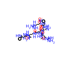 C=C(N)C(CCCNC(=O)CC[C@H](NC(=O)[C@H](CCCNC(=N)N)NC(C)=O)C(=O)N[C@@H](CCN)C(=O)N[C@H](Cc1cccc([N+](=O)[O-])c1)C(=O)NCCCCNC(=N)N)NC(=O)[C@@H](N)Cc1c[nH]c2ccccc12